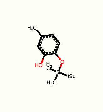 Cc1ccc(O[Si](C)(C)C(C)(C)C)c(O)c1